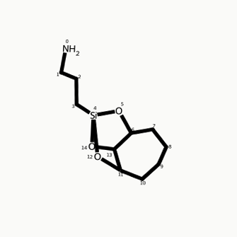 NCCC[Si]12OC3CCCCC(O1)C3O2